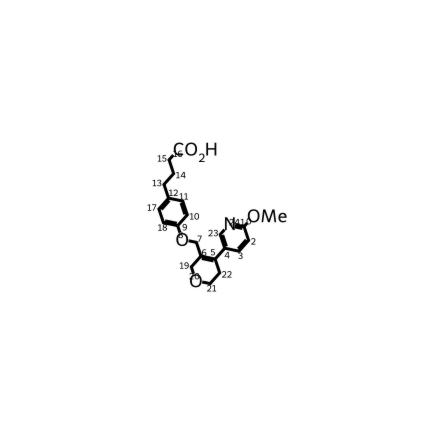 COc1ccc(C2=C(COc3ccc(CCCC(=O)O)cc3)COCC2)cn1